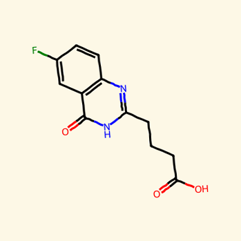 O=C(O)CCCc1nc2ccc(F)cc2c(=O)[nH]1